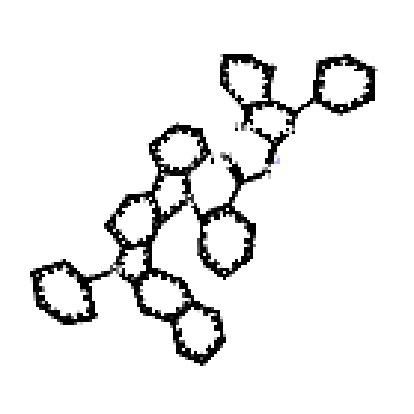 N=C(/N=c1/nc(-c2ccccc2)c2ccccc2[nH]1)c1ccccc1-n1c2ccccc2c2ccc3c(c4cc5ccccc5cc4n3-c3ccccc3)c21